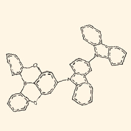 c1ccc2c(c1)Oc1cc(-n3c4ccccc4c4cc(-n5c6ccccc6c6ccccc65)ccc43)cc3c1B2c1ccccc1O3